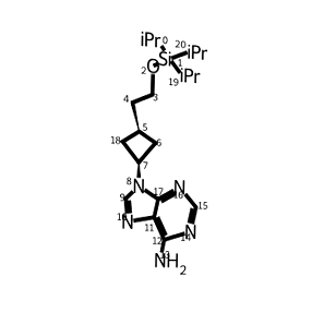 CC(C)[Si](OCC[C@H]1C[C@@H](n2cnc3c(N)ncnc32)C1)(C(C)C)C(C)C